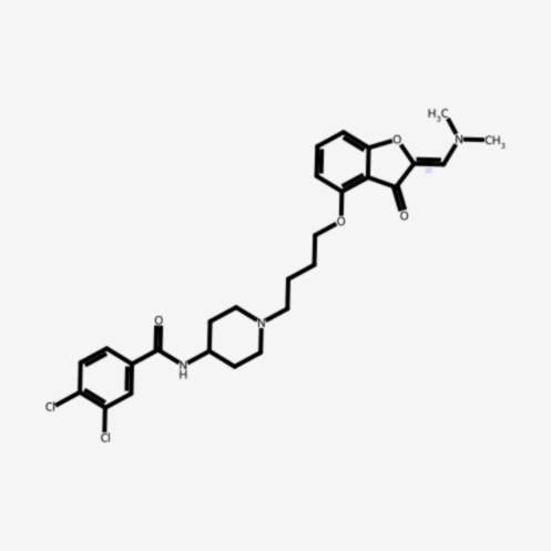 CN(C)/C=C1\Oc2cccc(OCCCCN3CCC(NC(=O)c4ccc(Cl)c(Cl)c4)CC3)c2C1=O